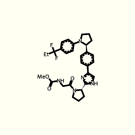 CCC(F)(F)c1ccc(N2CCC[C@H]2c2ccc(-c3c[nH]c([C@@H]4CCCN4C(=O)CNC(=O)OC)n3)cc2)cc1